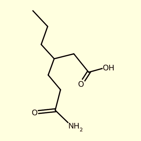 CCCC(CCC(N)=O)CC(=O)O